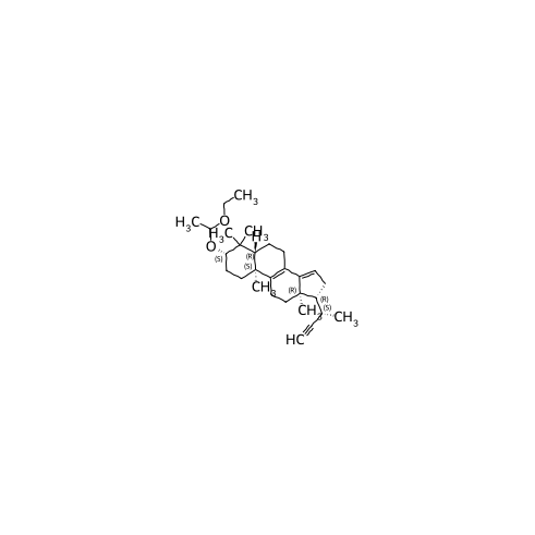 C#C[C@@H](C)[C@H]1CC=C2C3=C(CC[C@@]21C)[C@@]1(C)CC[C@H](OC(C)OCC)C(C)(C)[C@@H]1CC3